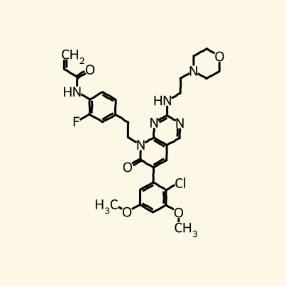 C=CC(=O)Nc1ccc(CCn2c(=O)c(-c3cc(OC)cc(OC)c3Cl)cc3cnc(NCCN4CCOCC4)nc32)cc1F